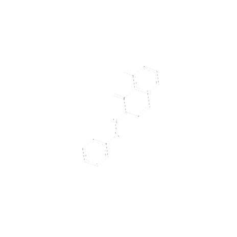 O=C1/C(=N/Nc2ccccc2)C=Cc2cccc(O)c21